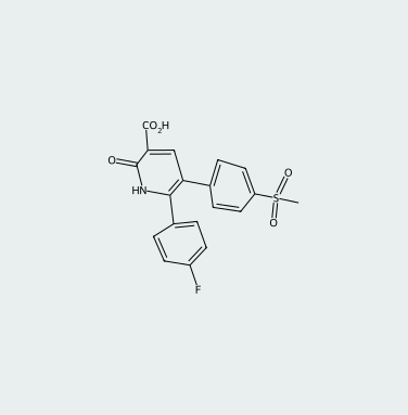 CS(=O)(=O)c1ccc(-c2cc(C(=O)O)c(=O)[nH]c2-c2ccc(F)cc2)cc1